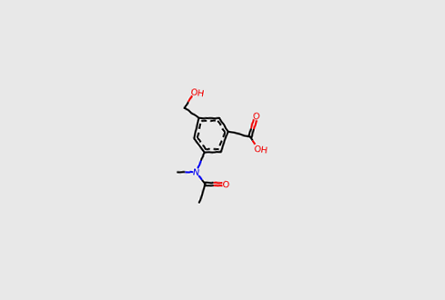 CC(=O)N(C)c1cc(CO)cc(C(=O)O)c1